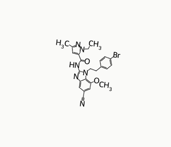 CCn1nc(C)cc1C(=O)Nc1nc2cc(C#N)cc(OC)c2n1CCc1ccc(Br)cc1